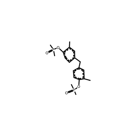 Cc1cc(Cc2ccc(OP(C)(C)=O)c(C)c2)ccc1OP(C)(C)=O